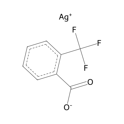 O=C([O-])c1ccccc1C(F)(F)F.[Ag+]